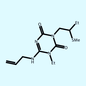 C=CCNc1nc(=O)n(CC(CC)SC)c(=O)n1CC